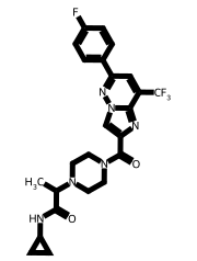 CC(C(=O)NC1CC1)N1CCN(C(=O)c2cn3nc(-c4ccc(F)cc4)cc(C(F)(F)F)c3n2)CC1